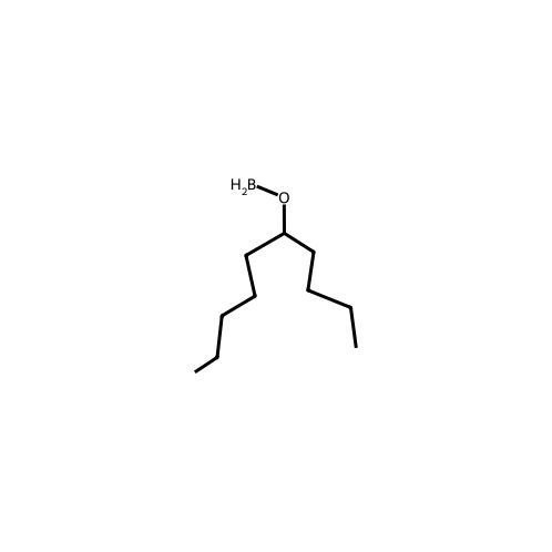 BOC(CCCC)CCCCC